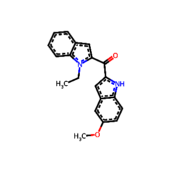 CCn1c(C(=O)c2cc3cc(OC)ccc3[nH]2)cc2ccccc21